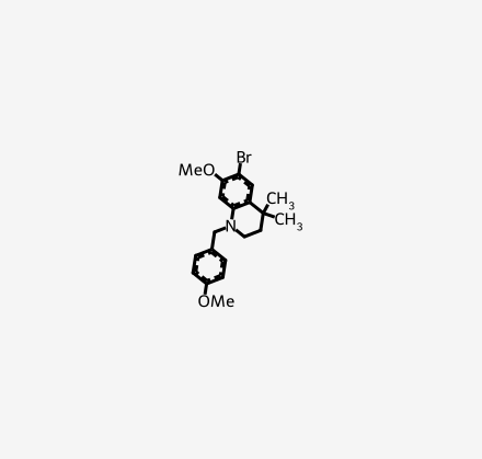 COc1ccc(CN2CCC(C)(C)c3cc(Br)c(OC)cc32)cc1